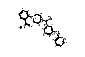 O=C(O)c1ccccc1N1CCN(C(=O)c2cccc(Oc3ccccn3)c2)CC1